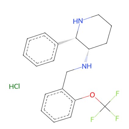 Cl.FC(F)(F)Oc1ccccc1CN[C@H]1CCCN[C@H]1c1ccccc1